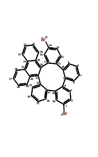 Brc1ccc2c3ccccc3c3ccc(Br)cc3c3c4ccccc4c4ccccc4c3c3ccccc3c2c1